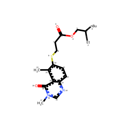 CCCCC(CC)COC(=O)CCSc1ccc2ncn(C)c(=O)c2c1C